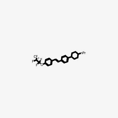 CCCC1CCC(c2ccc(/C=C/c3ccc(OC(F)(F)C(F)C(F)(F)F)cc3)cc2)CC1